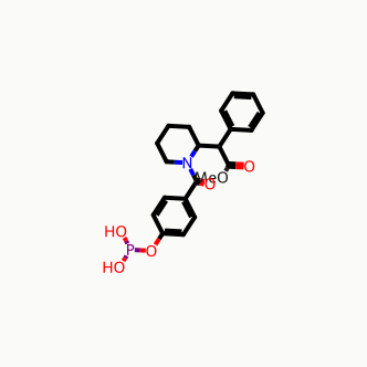 COC(=O)C(c1ccccc1)C1CCCCN1C(=O)c1ccc(OP(O)O)cc1